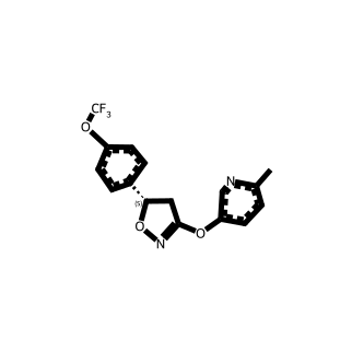 Cc1ccc(OC2=NO[C@H](c3ccc(OC(F)(F)F)cc3)C2)cn1